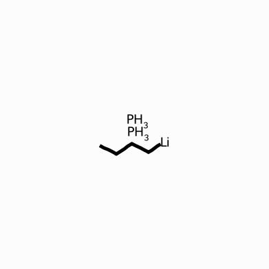 P.P.[Li][CH2]CCC